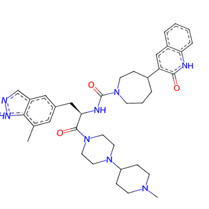 Cc1cc(C[C@@H](NC(=O)N2CCCC(c3cc4ccccc4[nH]c3=O)CC2)C(=O)N2CCN(C3CCN(C)CC3)CC2)cc2cn[nH]c12